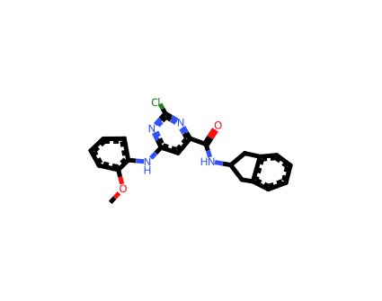 COc1ccccc1Nc1cc(C(=O)NC2Cc3ccccc3C2)nc(Cl)n1